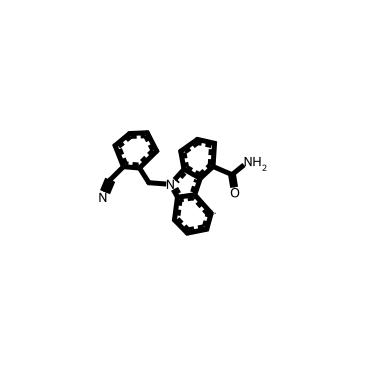 N#Cc1ccccc1Cn1c2ccc[c]c2c2c(C(N)=O)cccc21